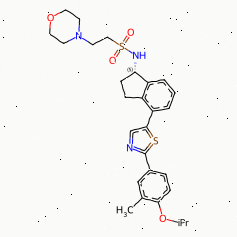 Cc1cc(-c2ncc(-c3cccc4c3CC[C@@H]4NS(=O)(=O)CCN3CCOCC3)s2)ccc1OC(C)C